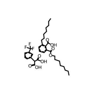 CCCCCCCCOC(=O)c1cccc(CCCCCCCC)c1C(=O)O.O=C(O)C(C(=O)O)c1cccc(C(F)(F)F)c1